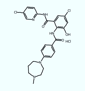 CN1CCCN(c2ccc(C(=O)Nc3c(O)cc(Cl)cc3C(=O)Nc3ccc(Cl)cn3)cc2)CC1.Cl